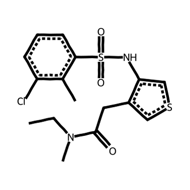 CCN(C)C(=O)Cc1cscc1NS(=O)(=O)c1cccc(Cl)c1C